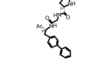 CC(=O)[C@@H](Cc1ccc(-c2ccccc2)cc1)NC(=O)CNC(=O)[C@@H]1CCCN1